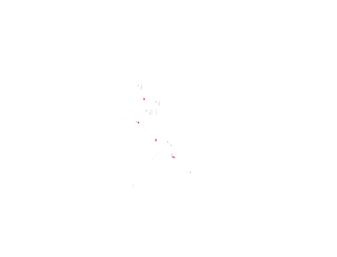 COc1ccc(C(=O)NC2CC3CCC(C2)N3c2ccc(C(=O)NCc3ccccc3)cn2)c(C)c1OC